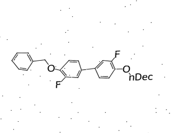 CCCCCCCCCCOc1ccc(-c2ccc(OCc3ccccc3)c(F)c2)cc1F